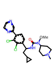 CON(C(=O)NC(CC1CC1)c1ccc(-c2cnccn2)c(Cl)c1Cl)C1CCN(C)CC1